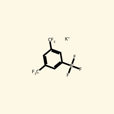 F[B-](F)(F)c1cc(C(F)(F)F)cc(C(F)(F)F)c1.[K+]